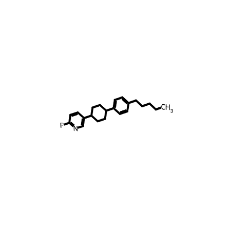 CCCCCc1ccc(C2CCC(c3ccc(F)nc3)CC2)cc1